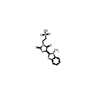 CN1C(=C2SC(=S)N(CCS(=O)(=O)O)C2=O)Sc2ccccc21